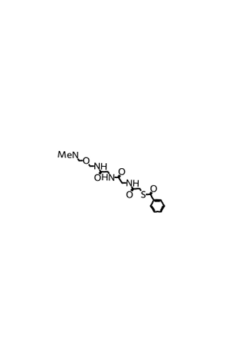 CNCOCNC(=O)CNC(=O)CNC(=O)CSC(=O)c1ccccc1